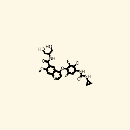 COc1cc2nccc(Oc3c(F)cc(NC(=O)NC4CC4)c(Cl)c3F)c2cc1C(=O)NC(CO)CO